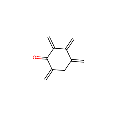 C=C1CC(=C)C(=O)C(=C)C1=C